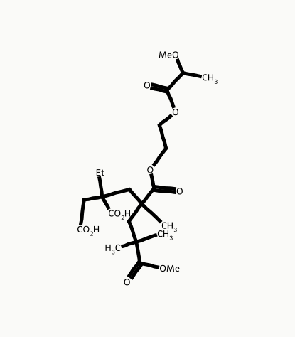 CCC(CC(=O)O)(CC(C)(CC(C)(C)C(=O)OC)C(=O)OCCOC(=O)C(C)OC)C(=O)O